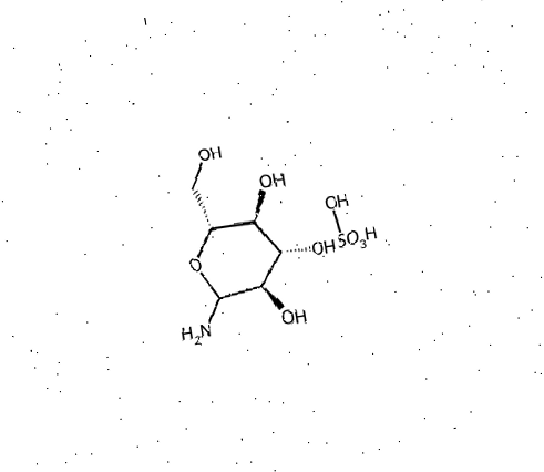 NC1O[C@H](CO)[C@@H](O)[C@H](O)[C@H]1O.O=S(=O)(O)O